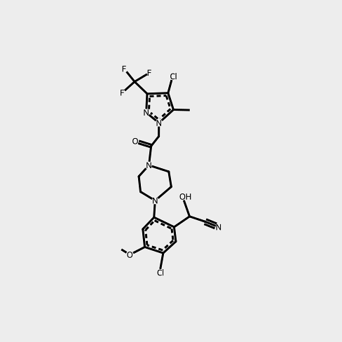 COc1cc(N2CCN(C(=O)Cn3nc(C(F)(F)F)c(Cl)c3C)CC2)c(C(O)C#N)cc1Cl